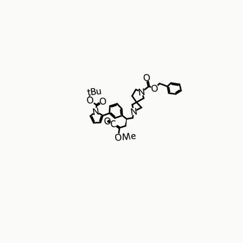 COC(=C=O)C[C@H](CN1CC2(CCN(C(=O)OCc3ccccc3)C2)C1)c1cccc(-c2cccn2C(=O)OC(C)(C)C)c1